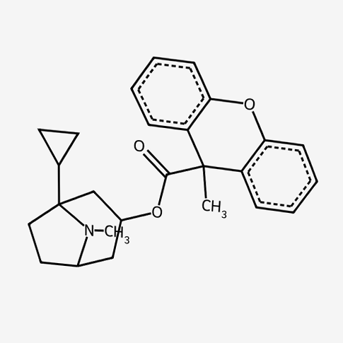 CN1C2CCC1(C1CC1)CC(OC(=O)C1(C)c3ccccc3Oc3ccccc31)C2